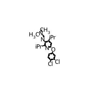 CC(C)c1cc(Oc2ccc(Cl)c(Cl)c2)nc(C(C)C)c1N=CN(C)C